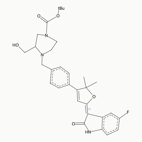 CC(C)(C)OC(=O)N1CCN(Cc2ccc(C3=C/C(=C4\C(=O)Nc5ccc(F)cc54)OC3(C)C)cc2)C(CO)C1